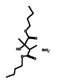 CCCCOC(=O)C(C)C(C)(O)C(=O)OCCCC.[SnH2]